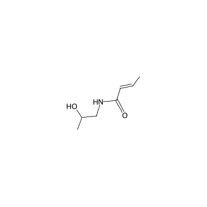 CC=CC(=O)NCC(C)O